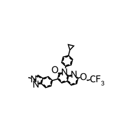 Cn1cc2cc(-c3cc4ccc(OCC(F)(F)F)nc4n(-c4ccc(C5CC5)cc4)c3=O)ccc2n1